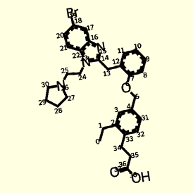 CCc1cc(COc2ccccc2Cc2nc3cc(Br)ccc3n2CCN2CCCC2)ccc1CCC(=O)O